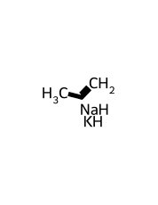 C=CC.[KH].[NaH]